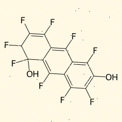 Oc1c(F)c(F)c2c(F)c3c(c(F)c2c1F)C(F)=C(F)C(F)C3(O)F